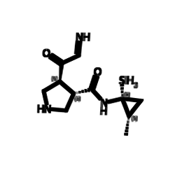 C[C@H]1C[C@]1([SiH3])NC(=O)[C@@H]1CNC[C@H]1C(=O)C=N